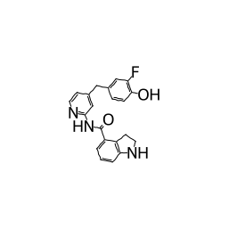 O=C(Nc1cc(Cc2ccc(O)c(F)c2)ccn1)c1cccc2c1CCN2